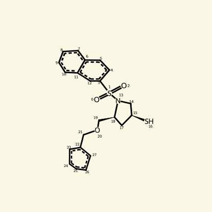 O=S(=O)(c1ccc2ccccc2c1)N1C[C@@H](S)C[C@H]1COCc1ccccc1